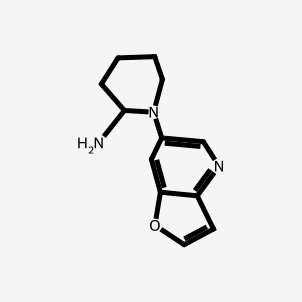 NC1CCCCN1c1cnc2ccoc2c1